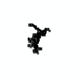 COC(=O)c1cc(OC)c(N(CC#Cc2cc3c(NC4CCN(C)CC4CCOCCOCCO)cccc3n2CC(F)(F)F)C(=O)OC(C)(C)C)cc1O